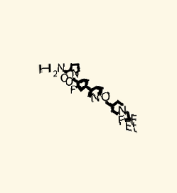 CCC(F)(F)CN1CCC(COc2ccc(-c3ccc(C(=O)N4CCCC4C(N)=O)c(F)c3)cn2)CC1